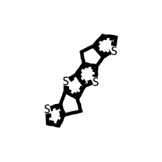 c1cc2c(s1)-c1sc3c4c(sc3c1C2)-c1sccc1C4